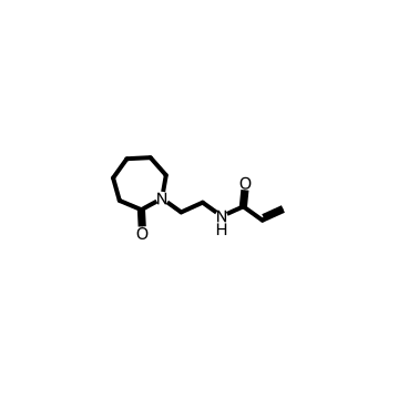 C=CC(=O)NCCN1CCCCCC1=O